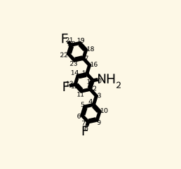 Nc1c(Cc2ccc(F)cc2)cc(F)cc1Cc1ccc(F)cc1